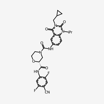 CC(C)n1c(=O)n(CC2CC2)c(=O)c2cc(NC(=O)N3CCO[C@@H](C(=O)Nc4cc(F)c(C#N)cc4F)C3)ccc21